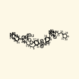 CC(C)(C)OC(=O)N(CC1CCc2cc(S(=O)(=O)Nc3ccc(-n4nnn(CCCC5CCCC5)c4=O)cc3)ccc2O1)C[C@@H](O)c1ccc2nnnn2c1